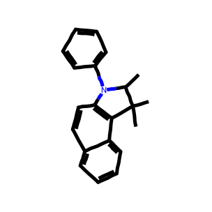 CC1N(c2ccccc2)c2ccc3ccccc3c2C1(C)C